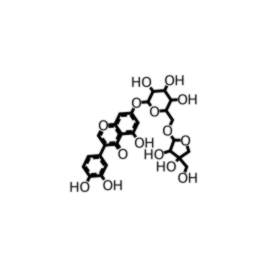 O=c1c(-c2ccc(O)c(O)c2)coc2cc(OC3OC(COC4OCC(O)(CO)C4O)C(O)C(O)C3O)cc(O)c12